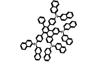 c1ccc(-c2cc(-c3ccc(N(c4ccc5ccccc5c4)c4ccc5ccccc5c4)cc3)c3c4ccc(N(c5ccc6ccccc6c5)c5ccc6ccccc6c5)cc4c4cc(N(c5ccc6ccccc6c5)c5ccc6ccccc6c5)ccc4c3c2-c2ccc(N(c3ccc4ccccc4c3)c3ccc4ccccc4c3)cc2)cc1